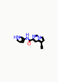 C#Cc1ccn2cnc(C(=O)NC3CC4CNC3C4)cc12